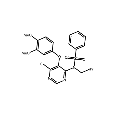 COc1ccc(Oc2c(Cl)ncnc2N(CC(C)C)S(=O)(=O)c2ccccc2)cc1OC